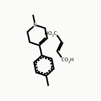 Cc1ccc(C2=CCN(C)CC2)cc1.O=C(O)C=CC(=O)O